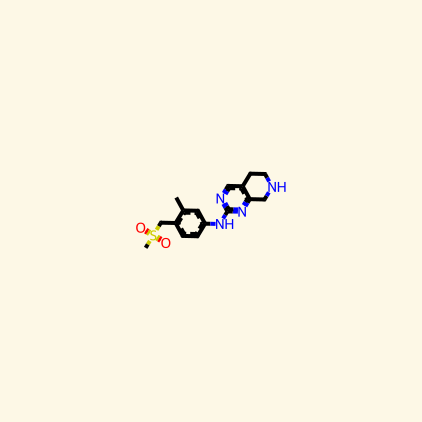 Cc1cc(Nc2ncc3c(n2)CNCC3)ccc1CS(C)(=O)=O